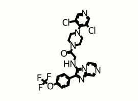 O=C(CNc1c(-c2ccc(OC(F)(F)F)cc2)nc2cnccn12)N1CCN(c2c(Cl)cncc2Cl)CC1